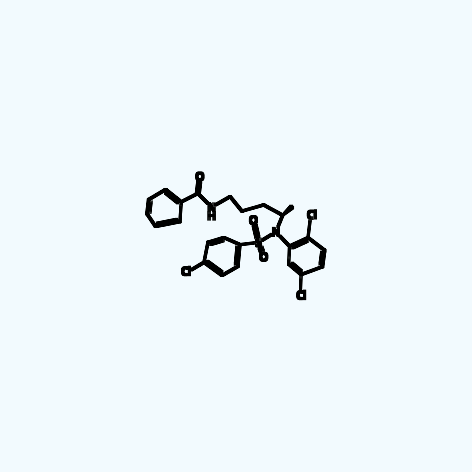 C[C@H](CCCNC(=O)c1ccccc1)N(c1cc(Cl)ccc1Cl)S(=O)(=O)c1ccc(Cl)cc1